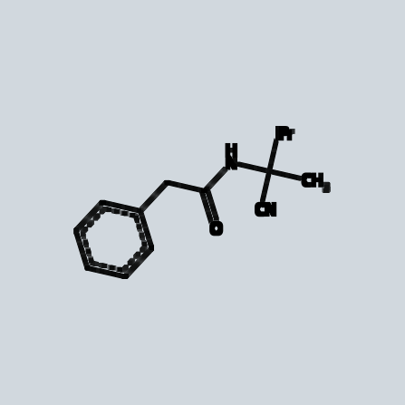 CC(C)C(C)(C#N)NC(=O)Cc1ccccc1